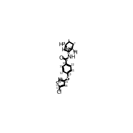 O=C(N[C@@H]1C[C@H]2CC[C@@H]1N2)c1ccc(Sc2cc(Cl)sn2)cc1